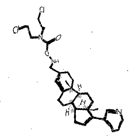 C[C@]12CCC(CNOC(=O)N(CCCl)CCCl)C=C1CC[C@H]1[C@@H]2CC[C@]2(C)C(c3cccnc3)=CC[C@@H]12